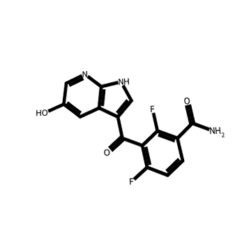 NC(=O)c1ccc(F)c(C(=O)c2c[nH]c3ncc(O)cc23)c1F